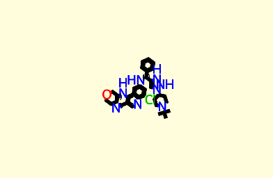 CC(C)(C)N1CCC(N2C=C([C@@H](Nc3cc(Cl)c4ncc(C#N)c(N[C@H]5CCCOC5)c4c3)c3ccccc3)NN2)CC1